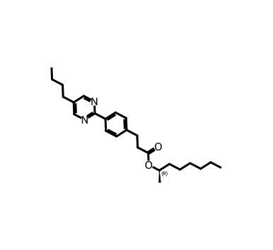 CCCCCC[C@@H](C)OC(=O)CCc1ccc(-c2ncc(CCCC)cn2)cc1